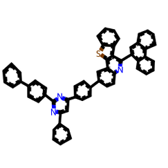 c1ccc(-c2ccc(-c3nc(-c4ccccc4)cc(-c4ccc(-c5ccc6nc(-c7cc8ccccc8c8ccccc78)c7c8ccccc8sc7c6c5)cc4)n3)cc2)cc1